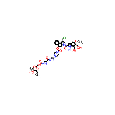 CCC(CO)OC(COC(=O)NCCC(=O)NCCN1CCN(C(=O)Oc2cc3c(c4ccccc24)[C@H](CCl)CN3C(=O)c2cc3cc(OC)c(CO)c(CO)c3[nH]2)CC1)OC